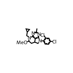 COC1CC2CN(c3ccc(Cl)cc3Cl)c3nc(C)nc(c32)N1CC1CC1